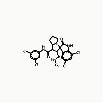 O=C(Nc1cc(Cl)cc(Cl)c1)C1C2CCCN2C2(C(=O)Nc3c(Cl)cc(Cl)cc32)C1C(=O)NO